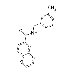 Cc1cccc(CNC(=O)c2ccc3ncccc3c2)c1